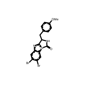 COc1ccc(CC2NC(=O)n3c2nc2cc(Br)c(Br)cc23)cc1